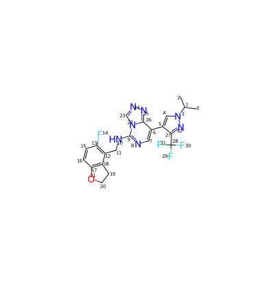 CC(C)n1cc(-c2cnc(NCc3c(F)ccc4c3CCO4)n3cnnc23)c(C(F)(F)F)n1